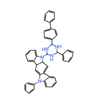 C1=c2c(n(-c3ccccc3)c3ccccc23)=CC2c3ccccc3N(C3NC(c4ccccc4)NC(c4ccc(-c5ccccc5)cc4)N3)C12